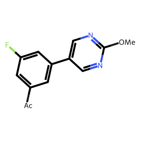 COc1ncc(-c2cc(F)cc(C(C)=O)c2)cn1